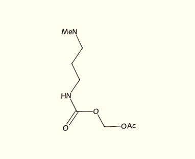 CNCCCNC(=O)OCOC(C)=O